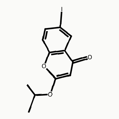 CC(C)Oc1cc(=O)c2cc(I)ccc2o1